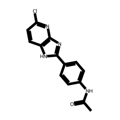 CC(=O)Nc1ccc(-c2nc3nc(Cl)ccc3[nH]2)cc1